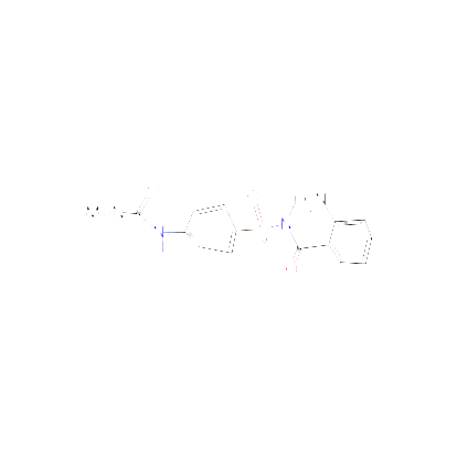 CNC(=O)Nc1ccc(S(=O)(=O)N(C)C(=O)c2ccccc2[N+](=O)[O-])cc1